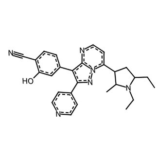 CCC1CC(c2ccnc3c(-c4ccc(C#N)c(O)c4)c(-c4ccncc4)nn23)C(C)N1CC